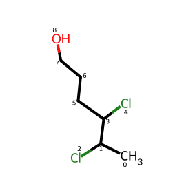 CC(Cl)C(Cl)CCCO